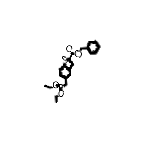 CCOP(Cc1ccc2sc(C(=O)OCc3ccccc3)cc2c1)OCC